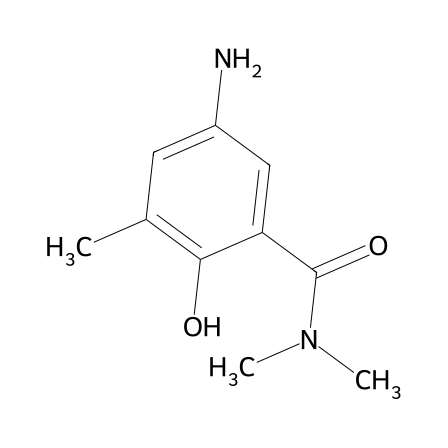 Cc1cc(N)cc(C(=O)N(C)C)c1O